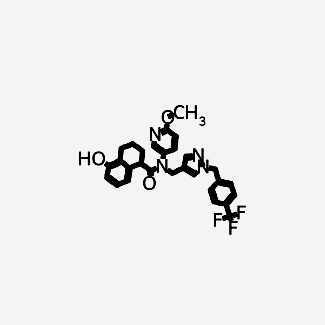 COc1ccc(N(Cc2cnn(Cc3ccc(C(F)(F)F)cc3)c2)C(=O)C2CCCc3c(O)cccc32)cn1